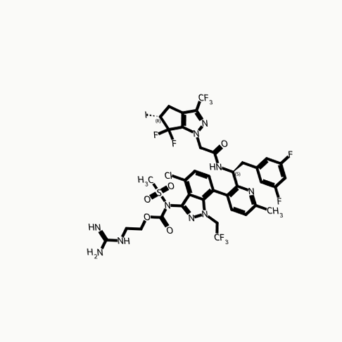 Cc1ccc(-c2ccc(Cl)c3c(N(C(=O)OCCNC(=N)N)S(C)(=O)=O)nn(CC(F)(F)F)c23)c([C@H](Cc2cc(F)cc(F)c2)NC(=O)Cn2nc(C(F)(F)F)c3c2C(F)(F)[C@H](I)C3)n1